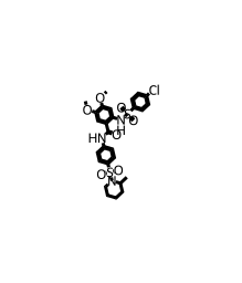 COc1cc(NS(=O)(=O)c2ccc(Cl)cc2)c(C(=O)Nc2ccc(S(=O)(=O)N3CCCCC3C)cc2)cc1OC